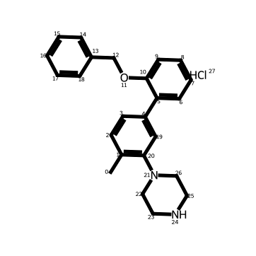 Cc1ccc(-c2ccccc2OCc2ccccc2)cc1N1CCNCC1.Cl